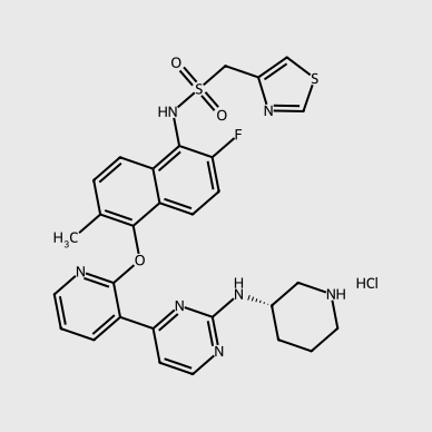 Cc1ccc2c(NS(=O)(=O)Cc3cscn3)c(F)ccc2c1Oc1ncccc1-c1ccnc(N[C@H]2CCCNC2)n1.Cl